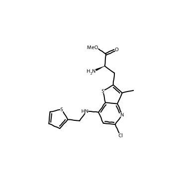 COC(=O)[C@H](N)Cc1sc2c(NCc3cccs3)cc(Cl)nc2c1C